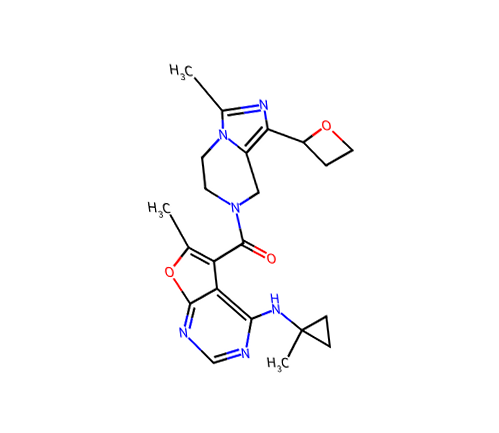 Cc1oc2ncnc(NC3(C)CC3)c2c1C(=O)N1CCn2c(C)nc(C3CCO3)c2C1